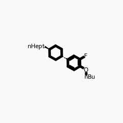 CCCCCCC[C@H]1CC[C@H](c2ccc(OCCCC)c(F)c2)CC1